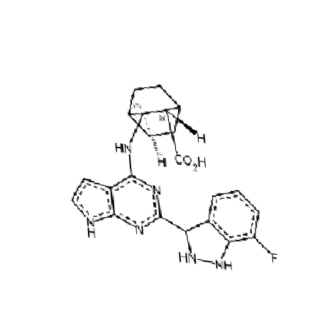 O=C(O)[C@H]1C2CCC(CC2)[C@@H]1Nc1nc(C2NNc3c(F)cccc32)nc2[nH]ccc12